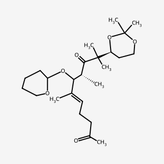 CC(=O)CC/C=C(\C)C(OC1CCCCO1)[C@@H](C)C(=O)C(C)(C)[C@@H]1CCOC(C)(C)O1